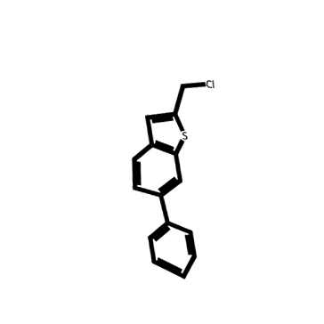 ClCc1cc2ccc(-c3ccccc3)cc2s1